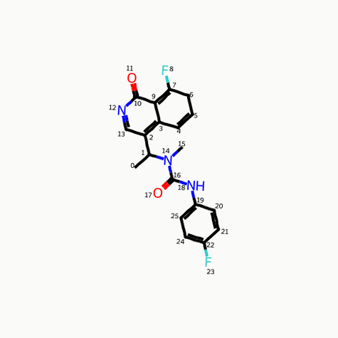 CC(C1=C2C=CCC(F)=C2C(=O)N=C1)N(C)C(=O)Nc1ccc(F)cc1